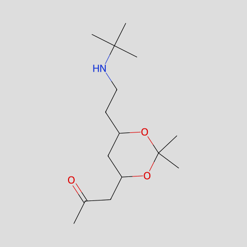 CC(=O)CC1CC(CCNC(C)(C)C)OC(C)(C)O1